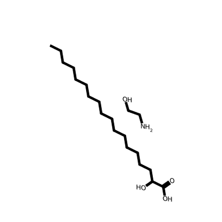 CCCCCCCCCCCCCCCCC(O)C(=O)O.NCCO